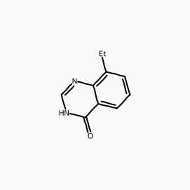 CCc1cccc2c(=O)[nH]cnc12